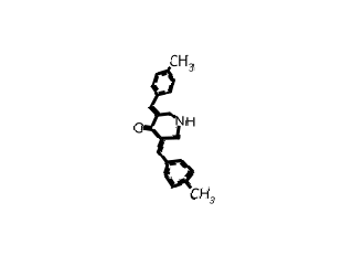 Cc1ccc(C=C2CNCC(=Cc3ccc(C)cc3)C2=O)cc1